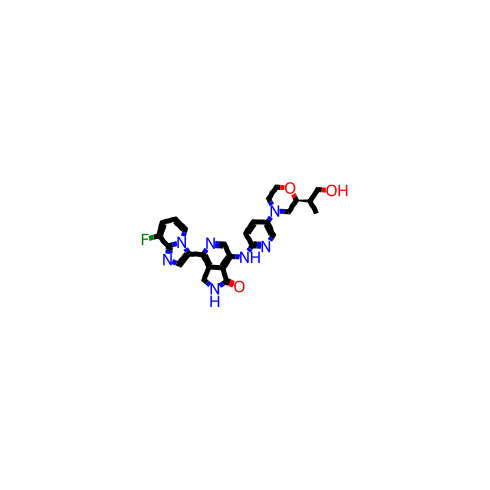 CC(CO)[C@H]1CN(c2ccc(Nc3cnc(-c4cnc5c(F)cccn45)c4c3C(=O)NC4)nc2)CCO1